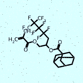 C=C(C)C(=O)OCC(CC(F)(F)C(F)(F)C(F)(C(F)(F)F)C(F)(F)F)OC(=O)C12CC3CC(CC(C3)C1)C2